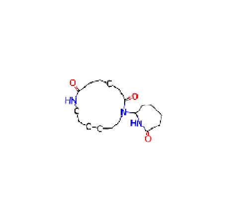 O=C1CCCCC(=O)N(C2CCCCC(=O)N2)CCCCCCN1